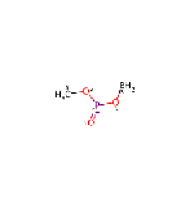 BO[PH](=O)OC